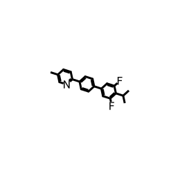 Cc1ccc(-c2ccc(-c3cc(F)c(C(C)C)c(F)c3)cc2)nc1